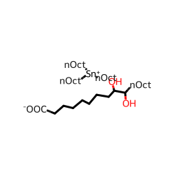 CCCCCCCCC(O)C(O)CCCCCCCC(=O)[O-].CCCCCCC[CH2][Sn+]([CH2]CCCCCCC)[CH2]CCCCCCC